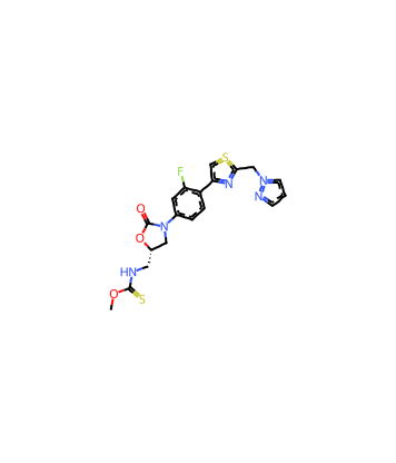 COC(=S)NC[C@H]1CN(c2ccc(-c3csc(Cn4cccn4)n3)c(F)c2)C(=O)O1